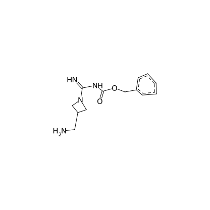 N=C(NC(=O)OCc1ccccc1)N1CC(CN)C1